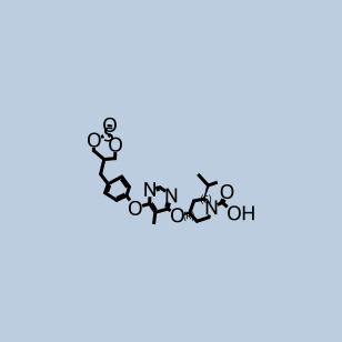 Cc1c(Oc2ccc(CC3COS(=O)OC3)cc2)ncnc1O[C@@H]1CCN(C(=O)O)[C@H](C(C)C)C1